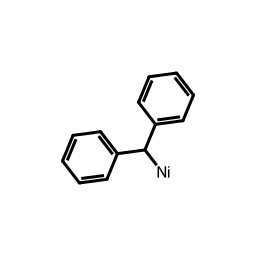 [Ni][CH](c1ccccc1)c1ccccc1